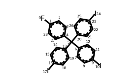 Fc1ccc(C(c2ccc(I)cc2)(c2ccc(I)cc2)c2ccc(I)cc2)cc1